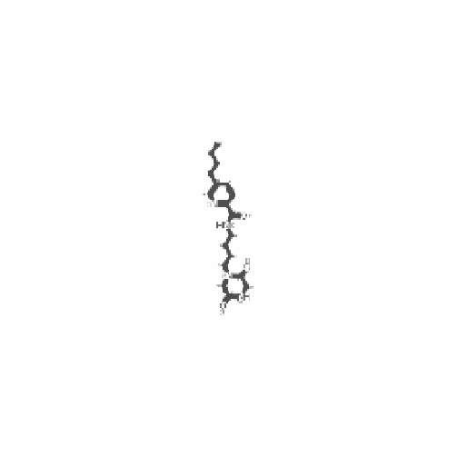 CCCCc1ccc(C(=O)NCCCCN2CC(=O)NCC2=O)nc1